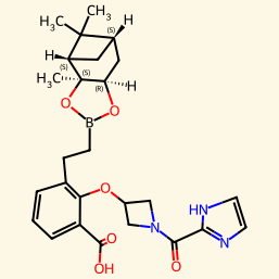 CC1(C)[C@@H]2C[C@H]3OB(CCc4cccc(C(=O)O)c4OC4CN(C(=O)c5ncc[nH]5)C4)O[C@@]3(C)[C@H]1C2